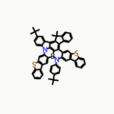 CC(C)(C)c1ccc(N2B3c4cc5c(cc4-n4c6ccc(C(C)(C)C)cc6c6c7c(c(c3c64)-c3cc4sc6ccccc6c4cc32)-c2ccccc2C7(C)C)sc2ccccc25)cc1